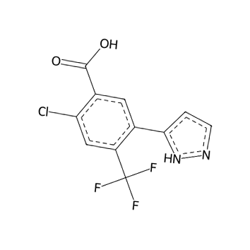 O=C(O)c1cc(-c2ccn[nH]2)c(C(F)(F)F)cc1Cl